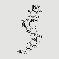 O=C(C1CCc2c(sc3ncnc(Nc4ccc5[nH]ncc5c4)c23)C1)N1CCN(CCCO)CC1